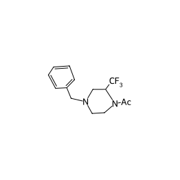 CC(=O)N1CCN(Cc2ccccc2)CC1C(F)(F)F